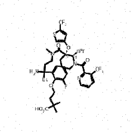 CCC[C@H]1N(C(=O)c2ncccc2C(F)(F)F)CCC[C@@]1(Oc1csc(C(F)(F)F)c1)C(=O)N(C)CCC(N)(CC)c1cccc(F)c1OCCC(C)(C)C(=O)O